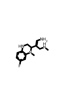 CNC/C(=C\N)C1CNc2ccc(F)cc2N1C